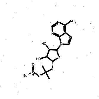 CC[C@@H](C)[PH](=O)OC(C)(C)C[C@H]1OC(n2ccc3c(N)ncnc32)[C@H](O)C1O